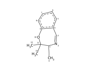 CC1N=Cc2ccccc2OC1(C)C